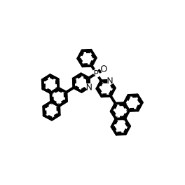 O=P(c1ccccc1)(c1ccc(-c2cc3ccccc3c3ccccc23)cn1)c1ccc(-c2cc3ccccc3c3ccccc23)cn1